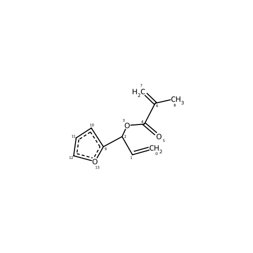 C=CC(OC(=O)C(=C)C)c1ccco1